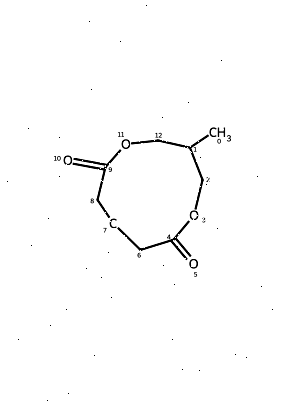 CC1COC(=O)CCCC(=O)OC1